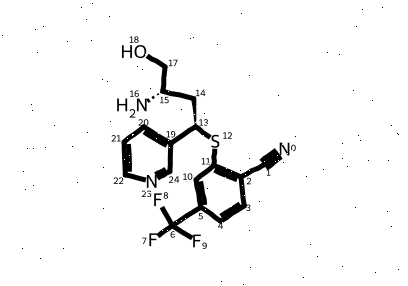 N#Cc1ccc(C(F)(F)F)cc1S[C@H](C[C@H](N)CO)c1cccnc1